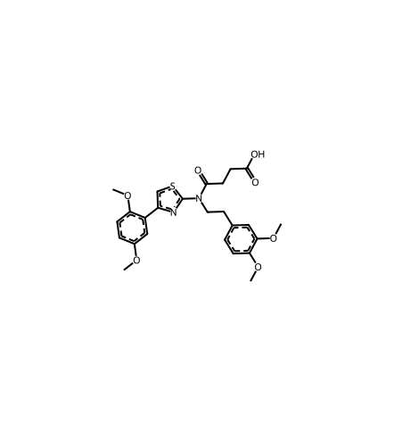 COc1ccc(OC)c(-c2csc(N(CCc3ccc(OC)c(OC)c3)C(=O)CCC(=O)O)n2)c1